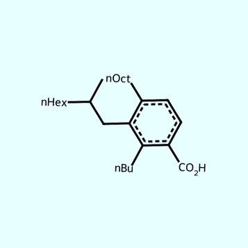 CCCCCCCCc1ccc(C(=O)O)c(CCCC)c1CC(C)CCCCCC